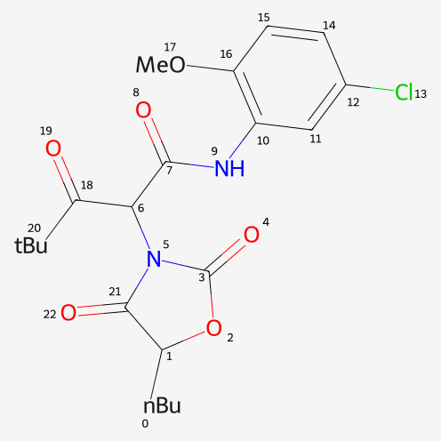 CCCCC1OC(=O)N(C(C(=O)Nc2cc(Cl)ccc2OC)C(=O)C(C)(C)C)C1=O